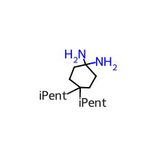 CCCC(C)C1(C(C)CCC)CCC(N)(N)CC1